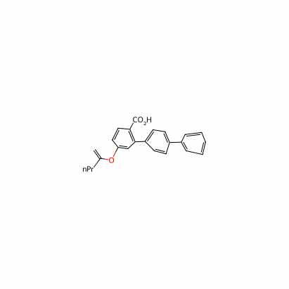 C=C(CCC)Oc1ccc(C(=O)O)c(-c2ccc(-c3ccccc3)cc2)c1